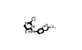 CC1Cc2ccc(Nc3nc(Cl)ncc3F)cc2OO1